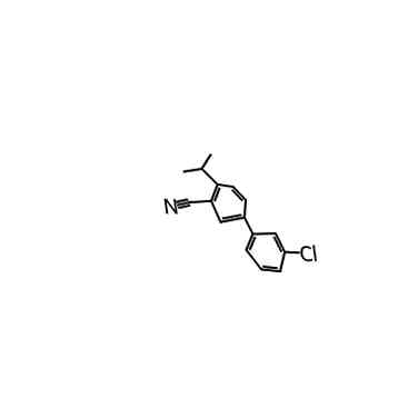 CC(C)c1ccc(-c2cccc(Cl)c2)cc1C#N